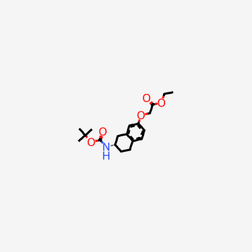 CCOC(=O)COc1ccc2c(c1)C[C@@H](NC(=O)OC(C)(C)C)CC2